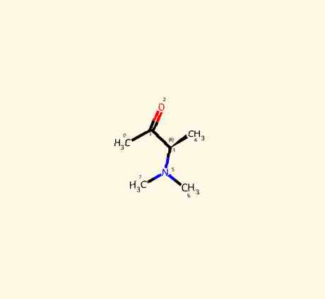 CC(=O)[C@@H](C)N(C)C